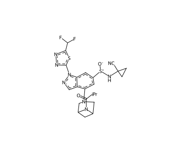 CC(C)C(=O)N1C2CC1CN(c1cc([S+]([O-])NC3(C#N)CC3)cc3c1cnn3-c1nnc(C(F)F)s1)C2